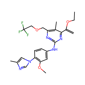 C=C(OCC)c1nc(Nc2ccc(-n3cnc(C)c3)c(OC)c2)nc(COCC(F)(F)F)c1C